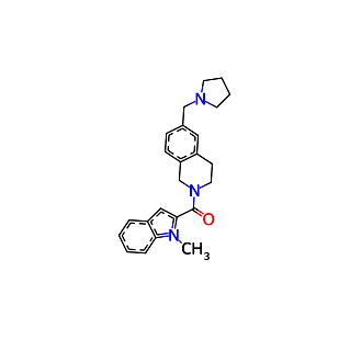 Cn1c(C(=O)N2CCc3cc(CN4CCCC4)ccc3C2)cc2ccccc21